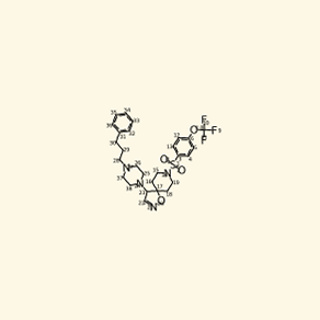 O=S(=O)(c1ccc(OC(F)(F)F)cc1)N1CCC2(CC1)ON=[C]C2N1CCN(CCCc2ccccc2)CC1